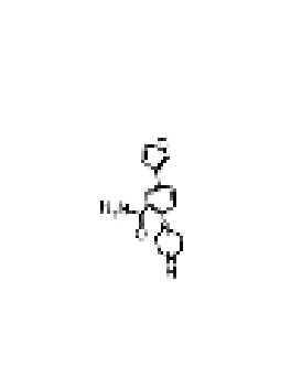 NC(=O)c1cc(-c2ccoc2)ccc1N1CCNCC1